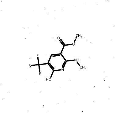 CNc1nc(O)c(C(F)(F)F)cc1C(=O)OC